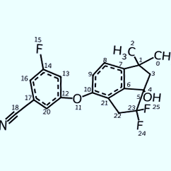 CC1(C)CC2(O)c3c1ccc(Oc1cc(F)cc(C#N)c1)c3CC2(F)F